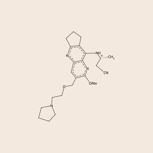 COc1nc2c(N[C@H](C)CC#N)c3c(nc2cc1COCCN1CCCC1)CCC3